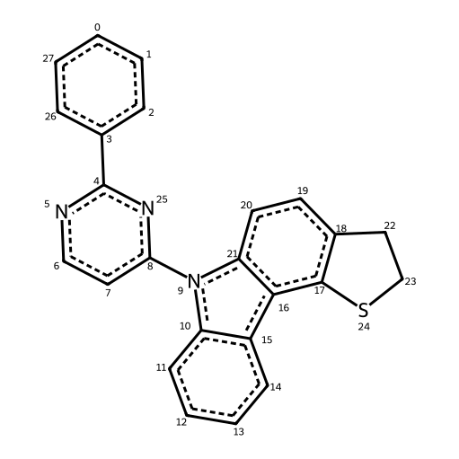 c1ccc(-c2nccc(-n3c4ccccc4c4c5c(ccc43)CCS5)n2)cc1